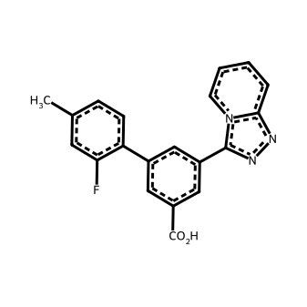 Cc1ccc(-c2cc(C(=O)O)cc(-c3nnc4ccccn34)c2)c(F)c1